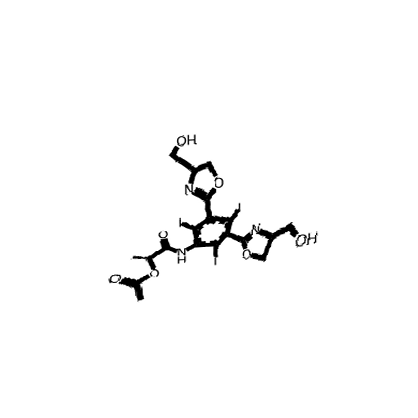 CC(=O)O[C@@H](C)C(=O)Nc1c(I)c(C2=NC(CO)CO2)c(I)c(C2=NC(CO)CO2)c1I